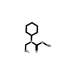 CC(C)(C)OC(=O)N(CN)C1CCCCC1